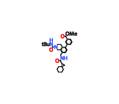 COC(=O)c1cccc(-c2ccc(CNC(=O)C3CC34CCCCC4)c3c2CCN(C(=O)NC(C)(C)C)C3)c1